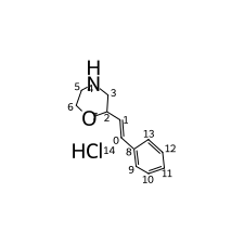 C(=CC1CNCCO1)c1ccccc1.Cl